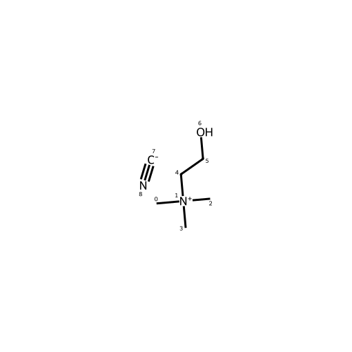 C[N+](C)(C)CCO.[C-]#N